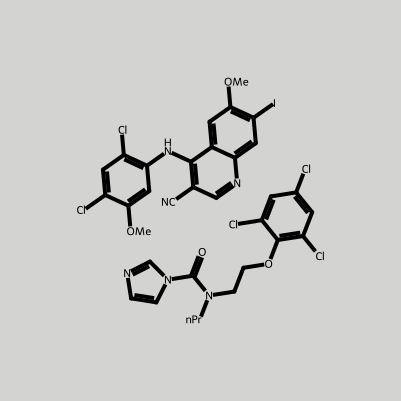 CCCN(CCOc1c(Cl)cc(Cl)cc1Cl)C(=O)n1ccnc1.COc1cc(Nc2c(C#N)cnc3cc(I)c(OC)cc23)c(Cl)cc1Cl